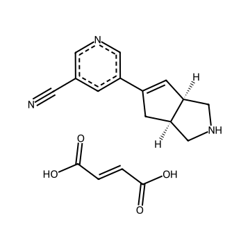 N#Cc1cncc(C2=C[C@H]3CNC[C@H]3C2)c1.O=C(O)C=CC(=O)O